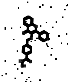 O=C(NO)c1ccc(COc2c(-c3ccncc3)oc3ccccc3c2=O)cc1